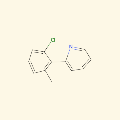 Cc1cccc(Cl)c1-c1ccccn1